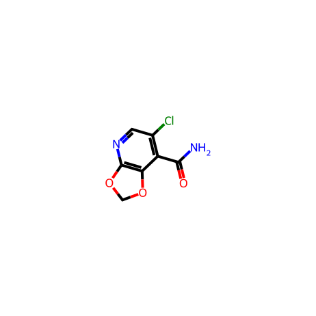 NC(=O)c1c(Cl)cnc2c1OCO2